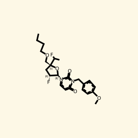 CCCCOC[C@]1(C(C)F)C[C@@H](F)[C@H](n2ccc(=O)n(Cc3ccc(OC)cc3)c2=O)O1